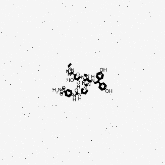 CCn1nnc([C@H]2O[C@@H](n3cnc4c(NCC(c5ccc(O)cc5)c5ccc(O)cc5)nc(N5CC[C@@H](NC(=O)Nc6ccc(S(N)(=O)=O)cc6)C5)nc43)[C@@H](O)[C@@H]2O)n1